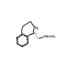 CC(=O)NC[C@H]1NCCc2ccccc21